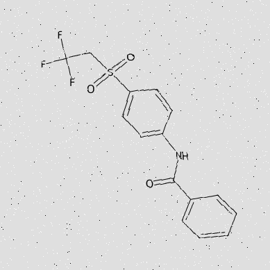 O=C(Nc1ccc(S(=O)(=O)CC(F)(F)F)cc1)c1ccccc1